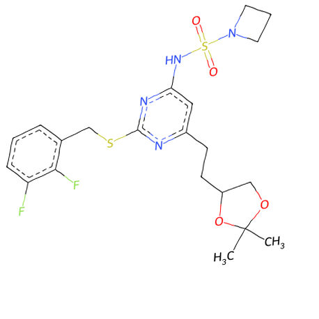 CC1(C)OCC(CCc2cc(NS(=O)(=O)N3CCC3)nc(SCc3cccc(F)c3F)n2)O1